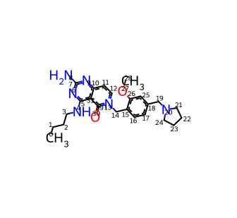 CCCCNc1nc(N)nc2ccn(Cc3ccc(CN4CCCC4)cc3OC)c(=O)c12